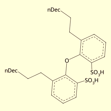 CCCCCCCCCCCCc1cccc(S(=O)(=O)O)c1Oc1c(CCCCCCCCCCCC)cccc1S(=O)(=O)O